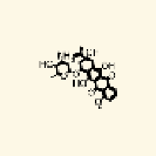 C=C(C)[C@]1(O)Cc2c(O)c3c(c(O)c2[C@@H](O[C@H]2C[C@H](N)[C@H](O)[C@H](C)O2)C1)C(=O)c1c(OC)cccc1C3=O